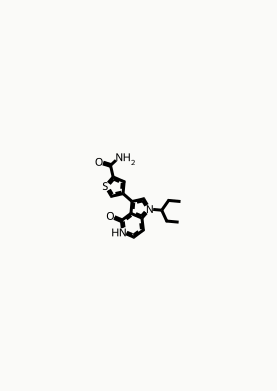 CCC(CC)n1cc(-c2csc(C(N)=O)c2)c2c(=O)[nH]ccc21